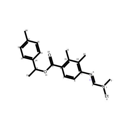 CCN(C)/C=N/c1ccc(C(=O)OC(C)c2ccc(C)cc2)c(C)c1C